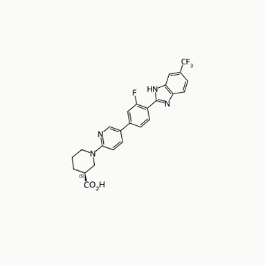 O=C(O)[C@H]1CCCN(c2ccc(-c3ccc(-c4nc5ccc(C(F)(F)F)cc5[nH]4)c(F)c3)cn2)C1